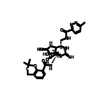 Cc1ccc(C(=O)NC[C@@H]2NC(=N)N3C[C@H](NC(=O)c4cccc5c4OC(C)(C)CC5)C(O)(O)[C@@]34NC(=N)NC24)nn1